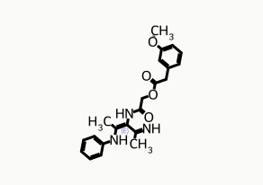 COc1cccc(CC(=O)OCC(=O)N/C(C(C)=N)=C(\C)Nc2ccccc2)c1